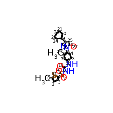 Cc1ccc(S(=O)(=O)NC(=O)Nc2ccc(N3N=C(c4ccccc4)CC3=O)c(C)c2)s1